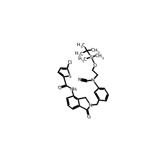 CC(C)(C)[Si](C)(C)OCCN(C#N)c1cccc(CN2Cc3c(NC(=O)c4ccc(Cl)s4)cccc3C2=O)c1